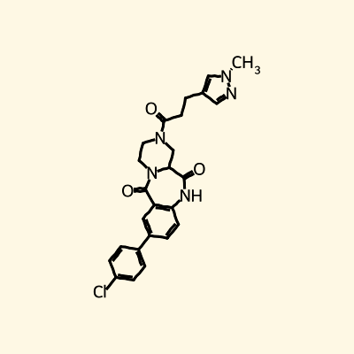 Cn1cc(CCC(=O)N2CCN3C(=O)c4cc(-c5ccc(Cl)cc5)ccc4NC(=O)C3C2)cn1